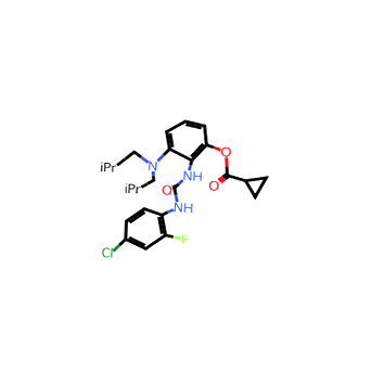 CC(C)CN(CC(C)C)c1cccc(OC(=O)C2CC2)c1NC(=O)Nc1ccc(Cl)cc1F